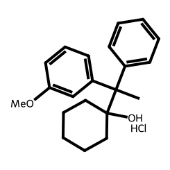 COc1cccc(C(C)(c2ccccc2)C2(O)CCCCC2)c1.Cl